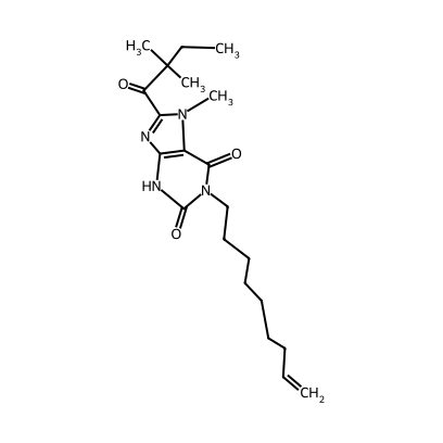 C=CCCCCCCCn1c(=O)[nH]c2nc(C(=O)C(C)(C)CC)n(C)c2c1=O